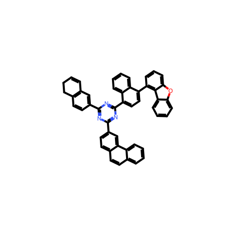 C1=Cc2cc(-c3nc(-c4ccc5ccc6ccccc6c5c4)nc(-c4ccc(-c5cccc6oc7ccccc7c56)c5ccccc45)n3)ccc2CC1